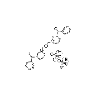 CS(=O)(=O)[O-].CS(=O)(=O)[O-].O=C(c1ccccc1)c1ccc[n+](COC[n+]2cccc(C(=O)c3ccccc3)c2)c1